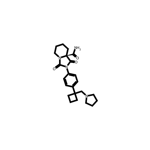 NC(=O)[C@]12[CH]CCCN1C(=O)N(c1ccc(C3(CN4CCCC4)CCC3)cc1)C2=O